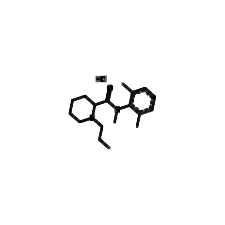 CCCN1CCCCC1C(=O)N(C)c1c(C)cccc1C.Cl